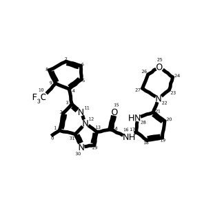 Cc1cc(-c2ccccc2C(F)(F)F)nn2c(C(=O)NC3C=CC=C(N4CCOCC4)N3)cnc12